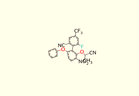 CC(C#N)Oc1c([N+](=O)[O-])ccc(Oc2ccccc2)c1-c1c(F)cc(C(F)(F)F)cc1C#N